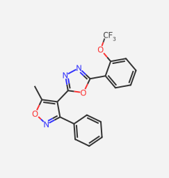 Cc1onc(-c2ccccc2)c1-c1nnc(-c2ccccc2OC(F)(F)F)o1